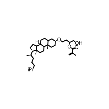 C=C(C)C(=O)OC(CO)CCO[C@H]1CC[C@@]2(C)C(CC[C@H]3C2CC[C@@]2(C)C3CC[C@@H]2[C@H](C)CCCC(C)C)C1